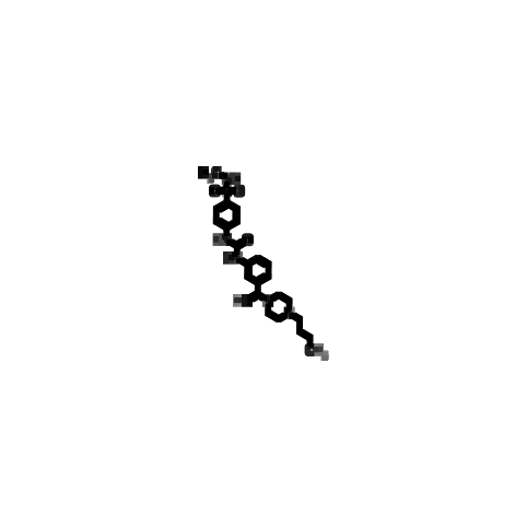 CCCCN1CCN(C(=N)c2cccc(NC(=O)Nc3ccc(S(=O)(=O)NC)cc3)c2)CC1